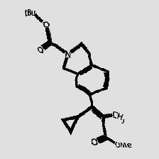 COC(=O)/C(C)=C(/c1ccc2c(c1)CN(C(=O)OC(C)(C)C)CC2)C1CC1